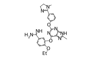 CCOc1ccc(C(=N)N)cc1Oc1nc(Oc2cccc(C3=NCCN3C)c2)nc2[nH]c(C)nc12